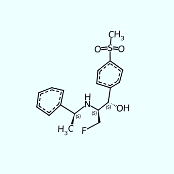 C[C@H](N[C@H](CF)[C@@H](O)c1ccc(S(C)(=O)=O)cc1)c1ccccc1